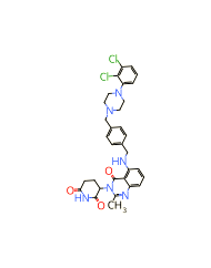 Cc1nc2cccc(NCc3ccc(CN4CCN(c5cccc(Cl)c5Cl)CC4)cc3)c2c(=O)n1C1CCC(=O)NC1=O